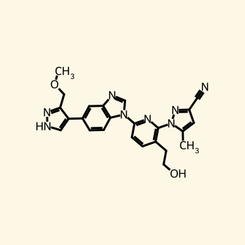 COCc1n[nH]cc1-c1ccc2c(c1)ncn2-c1ccc(CCO)c(-n2nc(C#N)cc2C)n1